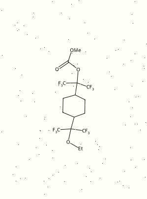 CCOC(C1CCC(C(OC(=O)OC)(C(F)(F)F)C(F)(F)F)CC1)(C(F)(F)F)C(F)(F)F